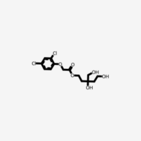 O=C(COc1ccc(Cl)cc1Cl)OCCC(O)(CO)CCO